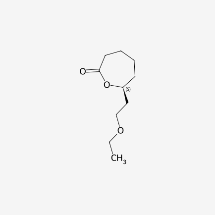 CCOCC[C@@H]1CCCCC(=O)O1